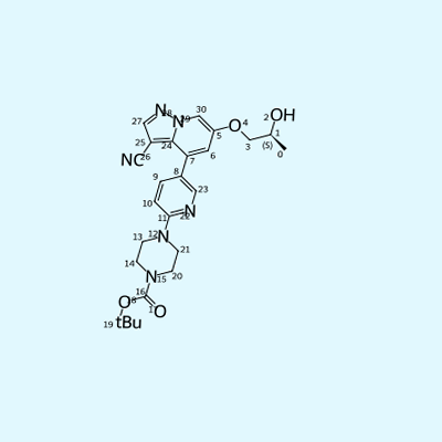 C[C@H](O)COc1cc(-c2ccc(N3CCN(C(=O)OC(C)(C)C)CC3)nc2)c2c(C#N)cnn2c1